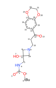 CC(C)(C)OC(=O)NCC1(O)CN(CCC(=O)c2ccc3c(c2)OCCO3)C1